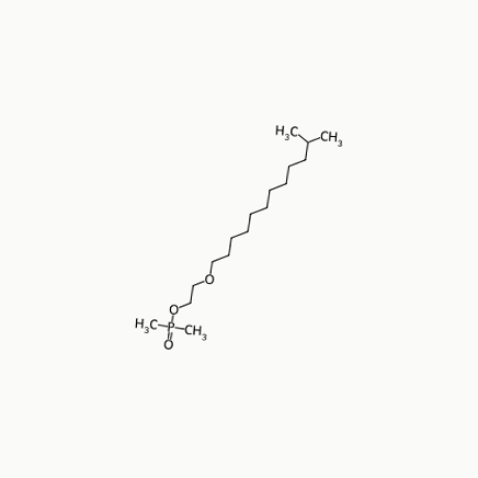 CC(C)CCCCCCCCCCOCCOP(C)(C)=O